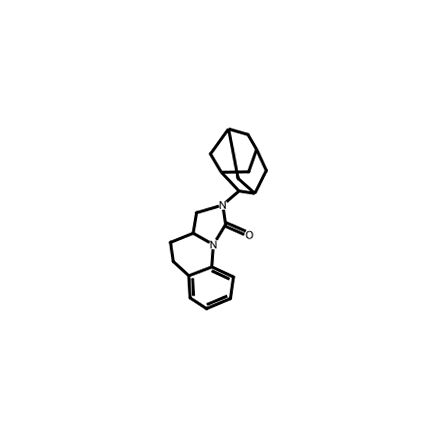 O=C1N(C2C3CC4CC(C3)CC2C4)CC2CCc3ccccc3N12